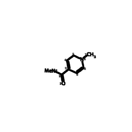 CNC(=O)C1=CCN(C)C=C1